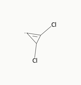 ClC1=[C]C1Cl